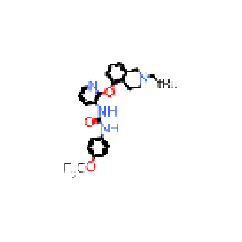 CC(C)(C)CN1CCc2c(cccc2Oc2ncccc2NC(=O)Nc2ccc(OC(F)(F)F)cc2)C1